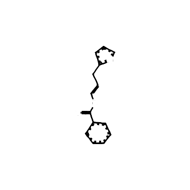 O=C(OC=CCc1ccco1)c1ccccc1